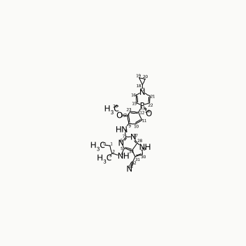 CCC(C)Nc1nc(Nc2ccc(P3(=O)C=CN(C4CC4)C=C3)cc2OC)nc2[nH]cc(C#N)c12